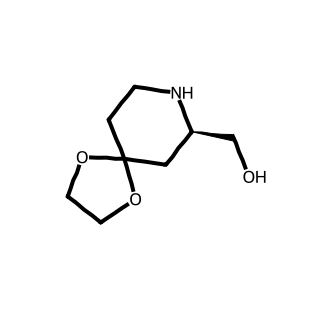 OC[C@H]1CC2(CCN1)OCCO2